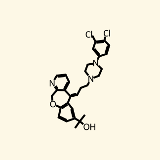 CC(C)(O)c1ccc2c(c1)/C(=C/CCN1CCN(c3ccc(Cl)c(Cl)c3)CC1)c1cccnc1CO2